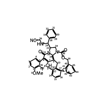 COc1cccc(-c2c(C)c(Cc3c(F)cccc3C(F)(F)F)c3n(c2=O)C(C(NCC#N)c2ccccc2)CN3C(=O)OCc2ccccc2)c1F